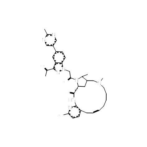 CC(=O)c1nn(CC(=O)N2C3C[C@]34C[C@H]2C(=O)Nc2nc(Br)ccc2CC=CCCCCN(C)C4)c2ccc(-c3cnc(C)nc3)cc12